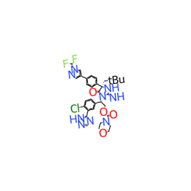 CC(C)(C)C[C@]1(c2ccc(-c3cnn(C(F)F)c3)cc2)NC(=N)N(C(COC(=O)N2CCOCC2)c2ccc(Cl)c(-c3ncn[nH]3)c2)C1=O